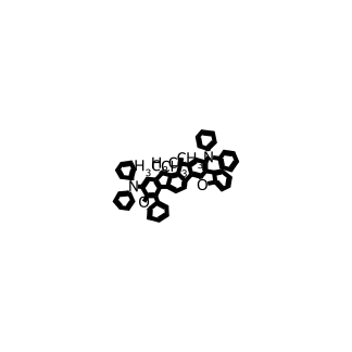 CC1(C)c2cc(N(c3ccccc3)c3ccccc3)c3c(oc4ccccc43)c2-c2ccc3c(c21)C(C)(C)c1cc(N(c2ccccc2)c2ccccc2)c2oc4ccccc4c2c1-3